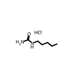 CCCCCNC(N)=O.Cl